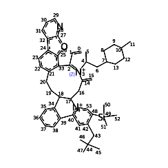 C=C/C1=[N+](\C(C)CC2CCC(C)CC2)C(=C)CC2C(CCc3ccc4c(oc5ncccc54)c31)c1ccccc1-c1cc(CC(C)(C)C)c([Si](C)(C)C)c[n+]12